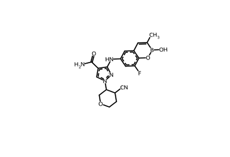 CC1=Cc2cc(Nc3nn(C4COCCC4C#N)cc3C(N)=O)cc(F)c2OB1O